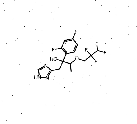 CC(OCC(F)(F)C(F)F)C(O)(Cc1nc[nH]n1)c1ccc(F)cc1F